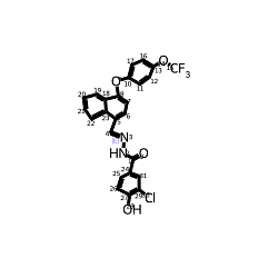 O=C(N/N=C/c1ccc(Oc2ccc(OC(F)(F)F)cc2)c2ccccc12)c1ccc(O)c(Cl)c1